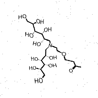 CC(=O)CCOCCN(C[C@H](O)[C@@H](O)[C@H](O)[C@H](O)CO)C[C@H](O)[C@@H](O)[C@H](O)[C@H](O)CO